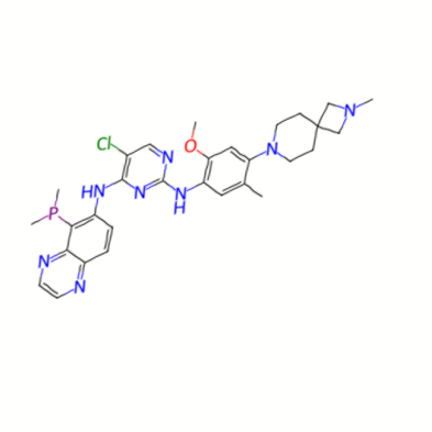 COc1cc(N2CCC3(CC2)CN(C)C3)c(C)cc1Nc1ncc(Cl)c(Nc2ccc3nccnc3c2P(C)C)n1